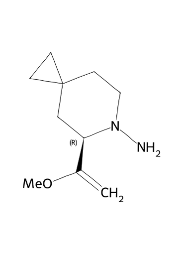 C=C(OC)[C@H]1CC2(CCN1N)CC2